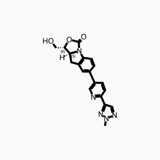 Cn1ncc(-c2ccc(-c3ccc4c(c3)C[C@H]3[C@H](CO)OC(=O)N43)cn2)n1